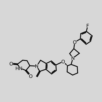 C=C1c2ccc(O[C@@H]3CCCCC3N3CC(Oc4cccc(F)c4)C3)cc2CN1C1CCC(=O)NC1=O